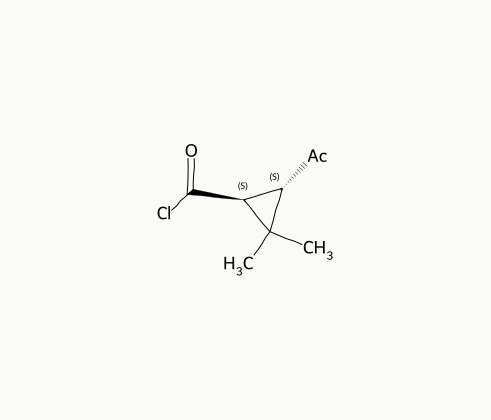 CC(=O)[C@H]1[C@H](C(=O)Cl)C1(C)C